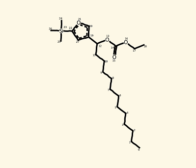 CCCCCCCCCCCCC(OC(=O)OCC)c1coc([Si](C)(C)C)c1